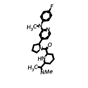 CNC(C)C1CCCC(C(=O)N2CCCC2c2ccnc(N(C)c3ccc(F)cc3)c2)N1